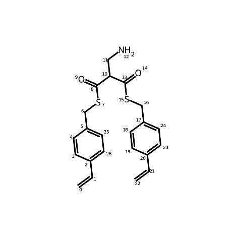 C=Cc1ccc(CSC(=O)C(CN)C(=O)SCc2ccc(C=C)cc2)cc1